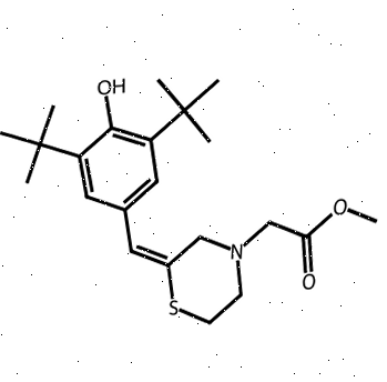 COC(=O)CN1CCS/C(=C/c2cc(C(C)(C)C)c(O)c(C(C)(C)C)c2)C1